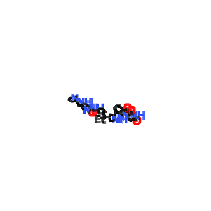 CCC(c1cccc(C(=O)Nc2cc3[nH]c([C@H]4CCCN4C)cc3cn2)c1)C1CCNC(c2cccc3c2CN([C@H]2CCC(=O)NC2=O)C3=O)C1